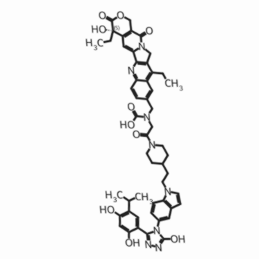 CCc1c2c(nc3ccc(CN(CC(=O)N4CCC(CCn5ccc6cc(-n7c(O)nnc7-c7cc(C(C)C)c(O)cc7O)ccc65)CC4)C(=O)O)cc13)-c1cc3c(c(=O)n1C2)COC(=O)[C@]3(O)CC